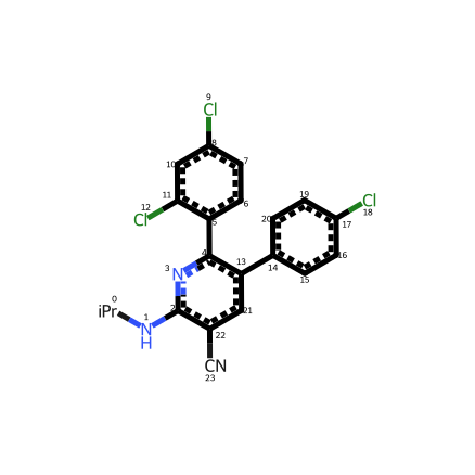 CC(C)Nc1nc(-c2ccc(Cl)cc2Cl)c(-c2ccc(Cl)cc2)cc1C#N